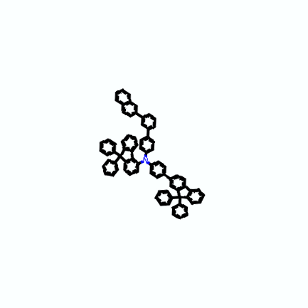 c1ccc(C2(c3ccccc3)c3ccccc3-c3ccc(-c4ccc(N(c5ccc(-c6cccc(-c7ccc8ccccc8c7)c6)cc5)c5cccc6c5-c5ccccc5C6(c5ccccc5)c5ccccc5)cc4)cc32)cc1